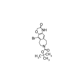 CC(C)(C)OC(=O)N1CCc2cc3c(c(Br)c2CC1)OCC(=O)N3